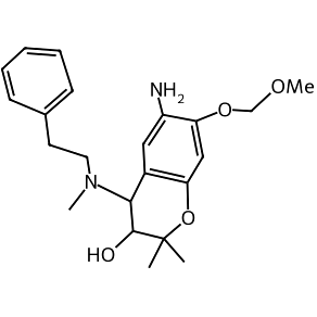 COCOc1cc2c(cc1N)C(N(C)CCc1ccccc1)C(O)C(C)(C)O2